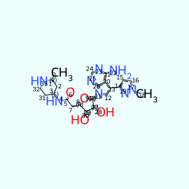 C[C@@H]1C[C@@H](NC(=O)C[C@H]2O[C@@H](n3cc(-c4ccn(C)n4)c4c(N)ncnc43)[C@H](O)[C@@H]2O)CCN1